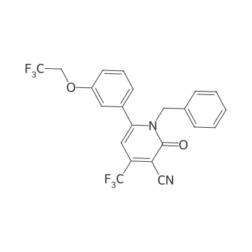 N#Cc1c(C(F)(F)F)cc(-c2cccc(OCC(F)(F)F)c2)n(Cc2ccccc2)c1=O